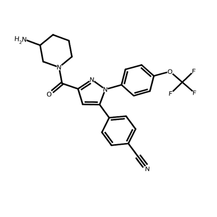 N#Cc1ccc(-c2cc(C(=O)N3CCCC(N)C3)nn2-c2ccc(OC(F)(F)F)cc2)cc1